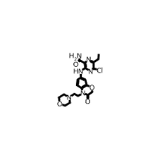 CCc1nc(C(N)=O)c(Nc2ccc3c(c2)OCC(=O)N3CCN2CCOCC2)nc1Cl